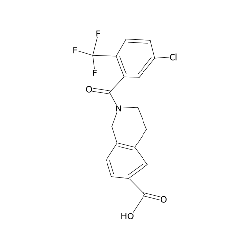 O=C(O)c1ccc2c(c1)CCN(C(=O)c1cc(Cl)ccc1C(F)(F)F)C2